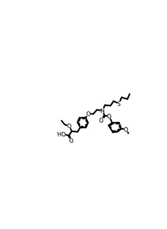 CCCSCCCN(CCOc1ccc(CC(OCC)C(=O)O)cc1)C(=O)Oc1cccc(OC)c1